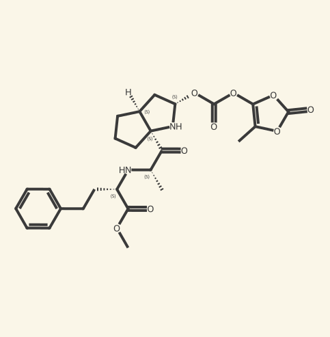 COC(=O)[C@H](CCc1ccccc1)N[C@@H](C)C(=O)[C@]12CCC[C@H]1C[C@H](OC(=O)Oc1oc(=O)oc1C)N2